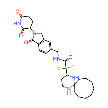 O=C1CCC(N2Cc3cc(CNC(=O)C(F)(F)C4CCNC5(CCCCCCCC5)N4)ccc3C2=O)C(=O)N1